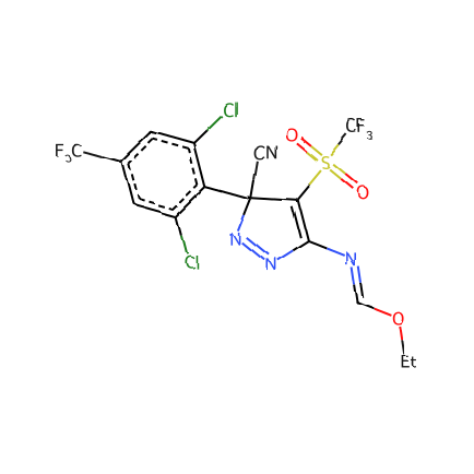 CCOC=NC1=C(S(=O)(=O)C(F)(F)F)C(C#N)(c2c(Cl)cc(C(F)(F)F)cc2Cl)N=N1